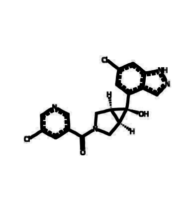 O=C(c1cncc(Cl)c1)N1C[C@@H]2[C@H](C1)[C@@]2(O)c1cc(Cl)cc2[nH]ncc12